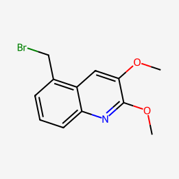 COc1cc2c(CBr)cccc2nc1OC